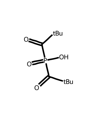 CC(C)(C)C(=O)P(=O)(O)C(=O)C(C)(C)C